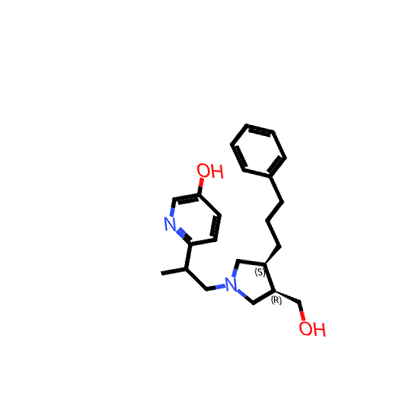 CC(CN1C[C@@H](CCCc2ccccc2)[C@@H](CO)C1)c1ccc(O)cn1